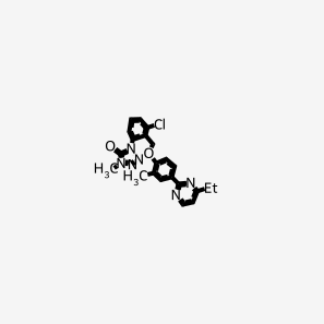 CCc1ccnc(-c2ccc(OCc3c(Cl)cccc3-n3nnn(C)c3=O)c(C)c2)n1